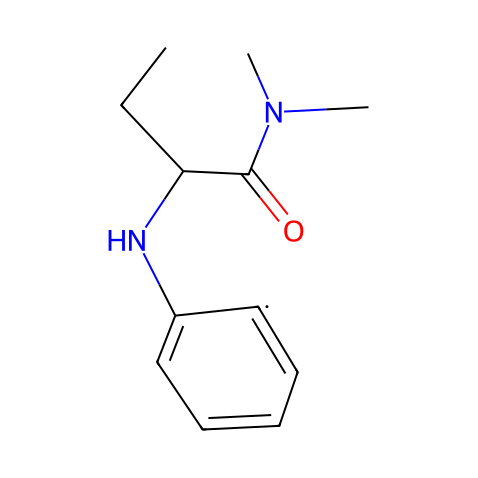 CCC(Nc1[c]cccc1)C(=O)N(C)C